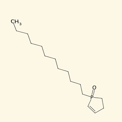 CCCCCCCCCCCCP1(=O)C=CCC1